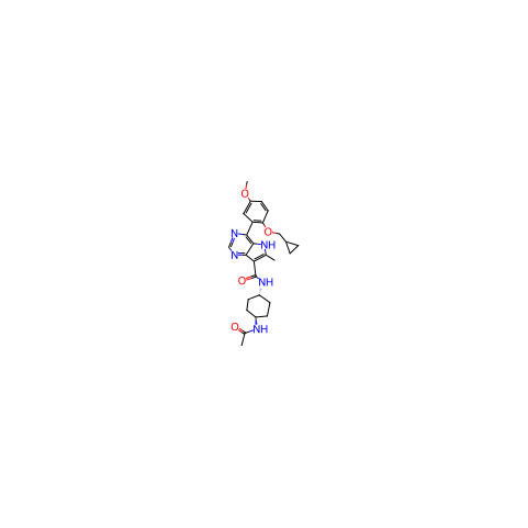 COc1ccc(OCC2CC2)c(-c2ncnc3c(C(=O)N[C@H]4CC[C@H](NC(C)=O)CC4)c(C)[nH]c23)c1